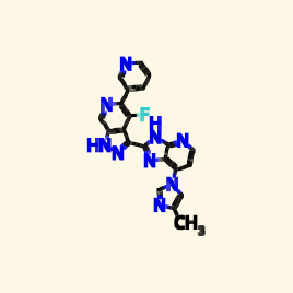 Cc1cn(-c2ccnc3[nH]c(-c4n[nH]c5cnc(-c6cccnc6)c(F)c45)nc23)cn1